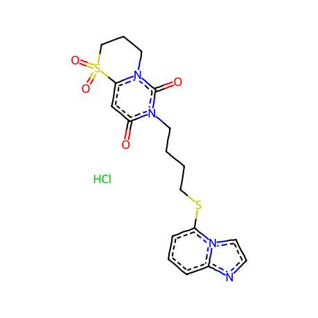 Cl.O=c1cc2n(c(=O)n1CCCCSc1cccc3nccn13)CCCS2(=O)=O